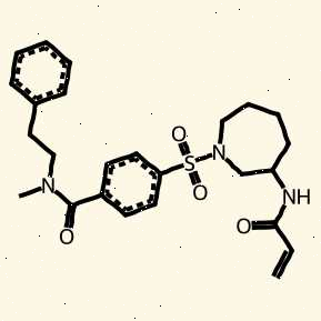 C=CC(=O)NC1CCCCN(S(=O)(=O)c2ccc(C(=O)N(C)CCc3ccccc3)cc2)C1